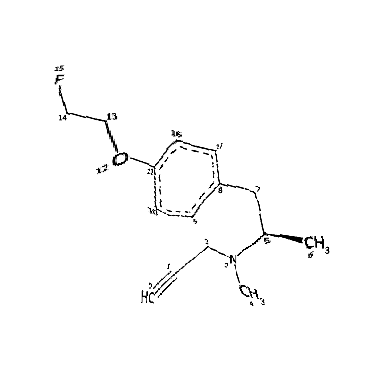 C#CCN(C)[C@H](C)Cc1ccc(OCCF)cc1